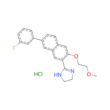 COCCOc1cc2ccc(-c3cccc(F)c3)cc2cc1C1=NCCN1.Cl